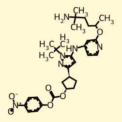 CC(CCC(C)(C)N)Oc1cc(Nc2cc([C@H]3CC[C@@H](OC(=O)Oc4ccc([N+](=O)[O-])cc4)C3)nn2C(C)(C)C)ccn1